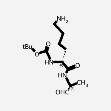 C[C@H]([C]=O)NC(=O)[C@@H](CCCCN)NC(=O)OC(C)(C)C